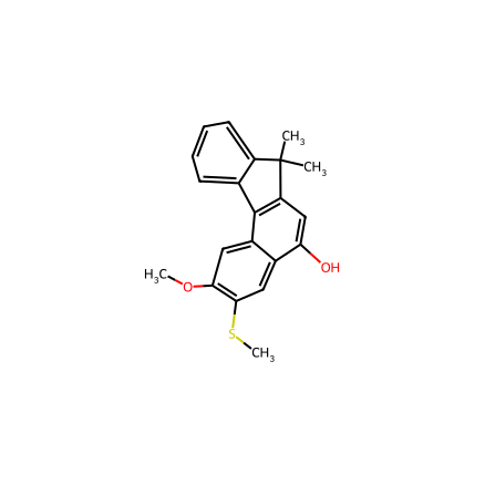 COc1cc2c3c(cc(O)c2cc1SC)C(C)(C)c1ccccc1-3